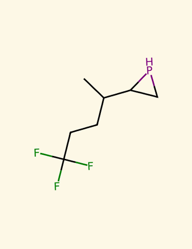 CC(CCC(F)(F)F)C1CP1